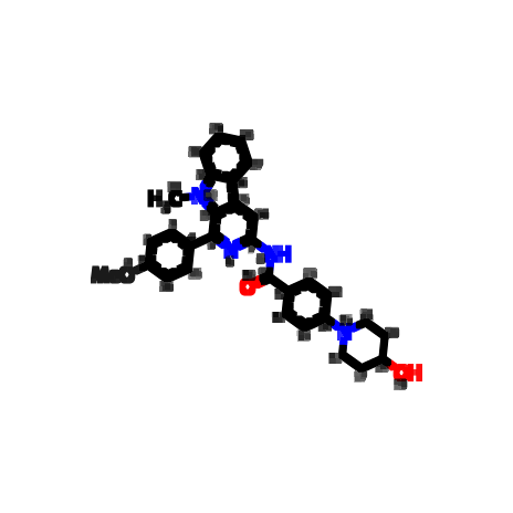 COc1ccc(-c2nc(NC(=O)c3ccc(N4CCC(O)CC4)cc3)cc3c4ccccc4n(C)c23)cc1